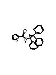 CN(C(=O)c1cccs1)C1(c2ccccc2)CC1(c1ccccc1)c1ccccc1